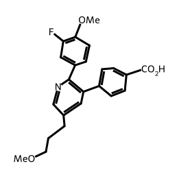 COCCCc1cnc(-c2ccc(OC)c(F)c2)c(-c2ccc(C(=O)O)cc2)c1